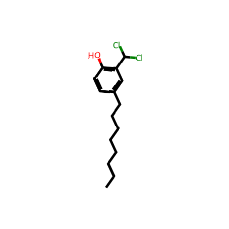 CCCCCCCCc1ccc(O)c(C(Cl)Cl)c1